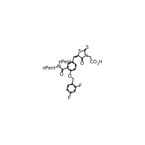 CCCCCN(CCCCC)C(=O)c1cc(C=C2SC(=S)N(CC(=O)O)C2=O)ccc1OCc1ccc(F)cc1F